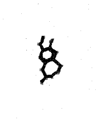 COc1cc2c(cc1Cl)COCC(C)C2